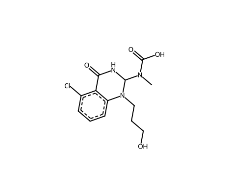 CN(C(=O)O)C1NC(=O)c2c(Cl)cccc2N1CCCO